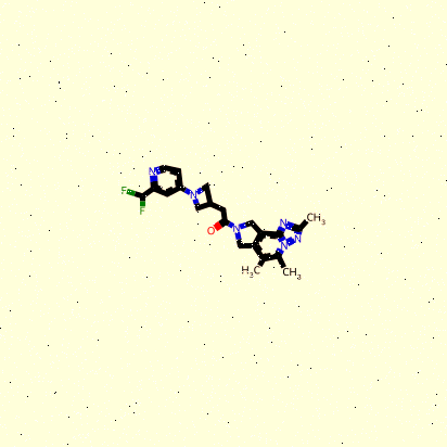 Cc1nc2c3c(c(C)c(C)n2n1)CN(C(=O)CC1CN(c2ccnc(C(F)F)c2)C1)C3